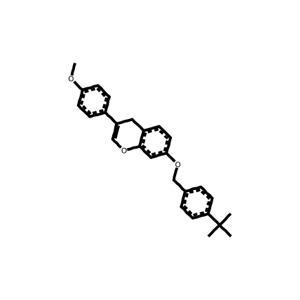 COc1ccc(C2=COc3cc(OCc4ccc(C(C)(C)C)cc4)ccc3C2)cc1